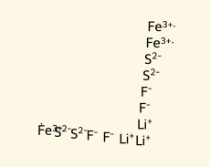 [F-].[F-].[F-].[F-].[Fe+3].[Fe+3].[Fe+3].[Li+].[Li+].[Li+].[S-2].[S-2].[S-2].[S-2]